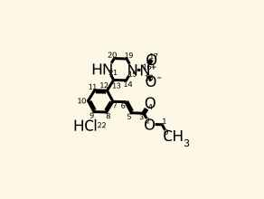 CCOC(=O)/C=C/c1ccccc1C1CN([N+](=O)[O-])CCN1.Cl